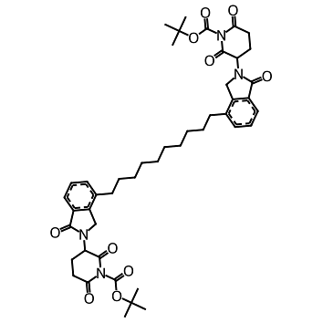 CC(C)(C)OC(=O)N1C(=O)CCC(N2Cc3c(CCCCCCCCCCc4cccc5c4CN(C4CCC(=O)N(C(=O)OC(C)(C)C)C4=O)C5=O)cccc3C2=O)C1=O